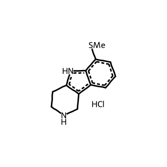 CSc1cccc2c3c([nH]c12)CCNC3.Cl